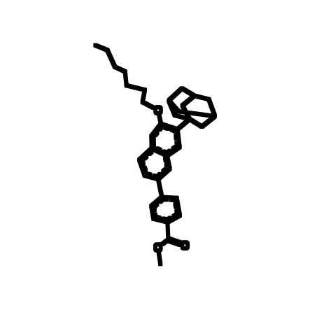 CCCCCCCOc1cc2ccc(-c3ccc(C(=O)OC)cc3)cc2cc1C12CC3CC(CC(C3)C1)C2